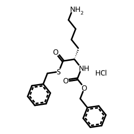 Cl.NCCCC[C@H](NC(=O)OCc1ccccc1)C(=O)SCc1ccccc1